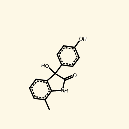 Cc1cccc2c1NC(=O)C2(O)c1ccc(O)cc1